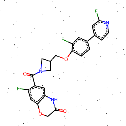 O=C1COc2cc(F)c(C(=O)N3CC(COc4ccc(-c5ccnc(F)c5)cc4F)C3)cc2N1